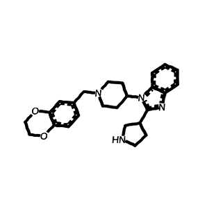 c1ccc2c(c1)nc(C1CCNC1)n2C1CCN(Cc2ccc3c(c2)OCCO3)CC1